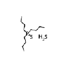 CCCCP(=S)(CCCC)CCCC.S